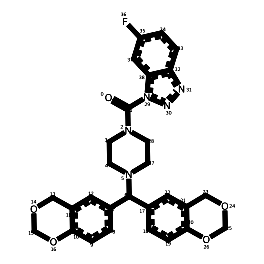 O=C(N1CCN(C(c2ccc3c(c2)COCO3)c2ccc3c(c2)COCO3)CC1)n1nnc2ccc(F)cc21